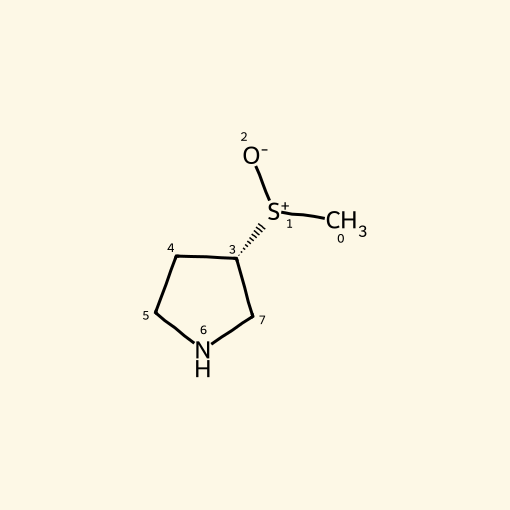 C[S+]([O-])[C@H]1CCNC1